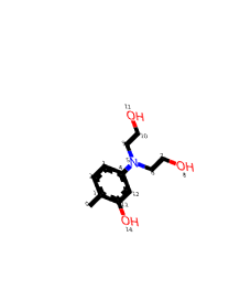 Cc1ccc(N(CCO)CCO)cc1O